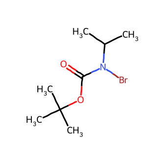 CC(C)N(Br)C(=O)OC(C)(C)C